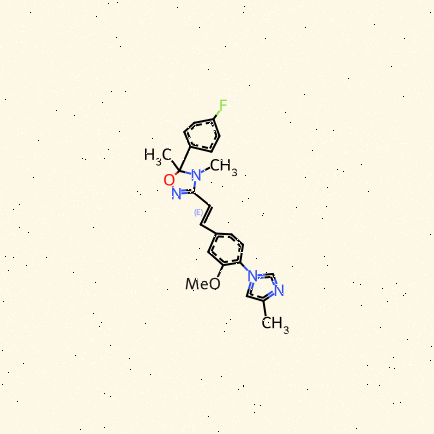 COc1cc(/C=C/C2=NOC(C)(c3ccc(F)cc3)N2C)ccc1-n1cnc(C)c1